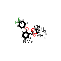 CNc1ccc(OC2CCC(F)(F)CC2)c(B2OC(C)(C)C(C)(C)O2)c1